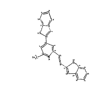 Cc1cc(-c2cc3ccccc3s2)cc(/C=C/c2cc3ccccc3s2)n1